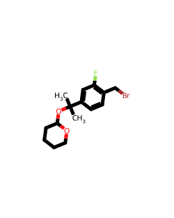 CC(C)(OC1CCCCO1)c1ccc(CBr)c(F)c1